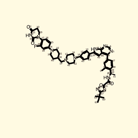 Cc1cc(-c2ncnc3[nH]c(-c4ccc(N5CCN(CC6CCN(c7ccc(N8CCC(=O)NC8=O)c(F)c7)CC6)CC5)cc4)cc23)ccc1[C@@H](C)NC(=O)c1nc(C(C)(C)C)no1